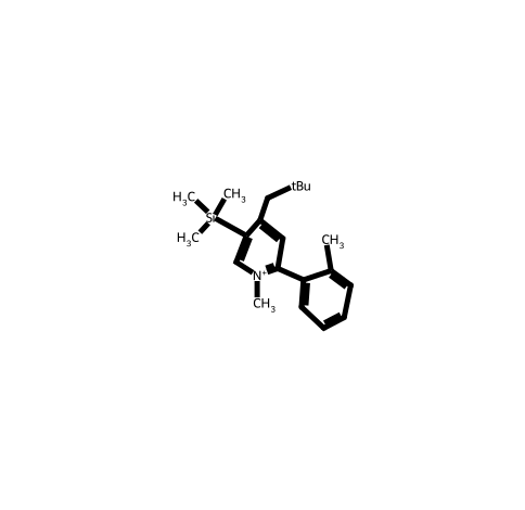 Cc1ccccc1-c1cc(CC(C)(C)C)c([Si](C)(C)C)c[n+]1C